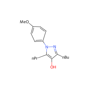 CCCCc1nn(-c2ccc(OC)cc2)c(CCC)c1O